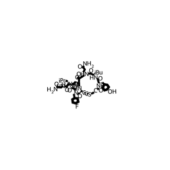 CC[C@H](C)[C@@H]1NC(=O)[C@H](Cc2ccc(O)cc2)NC(=O)CCSCC[C@@H](C(=O)N(CC(=O)N[C@@H](CC(C)C)C(=O)NCC(N)=O)Cc2ccc(F)cc2)NN[C@@H](CC(N)=O)C(=O)C(=O)[C@H](CCC(N)=O)NC1=O